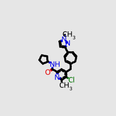 Cc1nc(C(=O)NC2CCCC2)cc(CC2=CC=C(c3ccn(C)n3)C=CC2)c1Cl